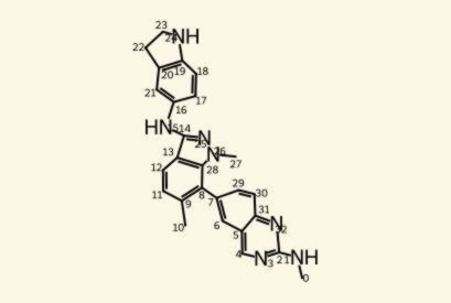 CNc1ncc2cc(-c3c(C)ccc4c(Nc5ccc6c(c5)CCN6)nn(C)c34)ccc2n1